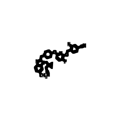 Cc1ccc2nc(CN3CCC(Oc4ccc(F)c(OCc5ccc(C#N)cc5F)n4)CC3)n(CC3(CC#N)CC3)c2c1